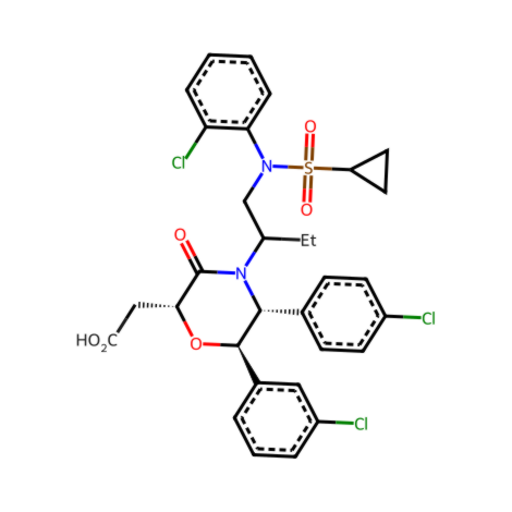 CCC(CN(c1ccccc1Cl)S(=O)(=O)C1CC1)N1C(=O)[C@@H](CC(=O)O)O[C@H](c2cccc(Cl)c2)[C@H]1c1ccc(Cl)cc1